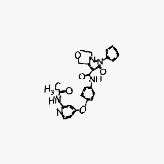 CC(=O)Nc1cc(Oc2ccc(NC(=O)c3c4n(n(-c5ccccc5)c3=O)CCOC4)cc2)ccn1